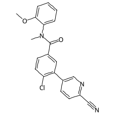 COc1ccccc1N(C)C(=O)c1ccc(Cl)c(-c2ccc(C#N)nc2)c1